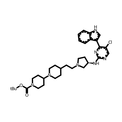 CC(C)(C)OC(=O)N1CCC(N2CCC(CCN3CC[C@@H](Nc4ncc(Cl)c(-c5c[nH]c6ccccc56)n4)C3)CC2)CC1